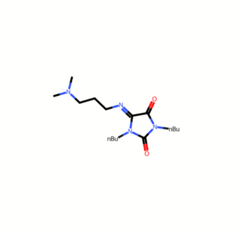 CCCCN1C(=O)C(=NCCCN(C)C)N(CCCC)C1=O